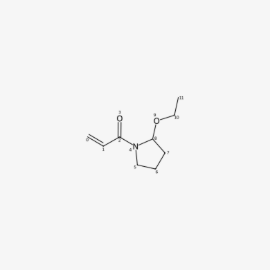 C=CC(=O)N1CCCC1OCC